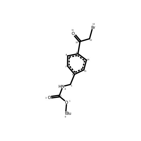 CC(C)(C)OC(=O)NCc1ccc(C(=O)CBr)cc1